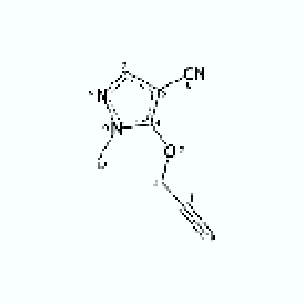 C#CCOc1c(C#N)[c]nn1C